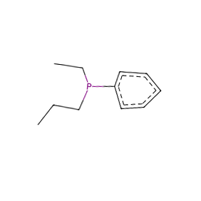 CCCP(CC)c1ccccc1